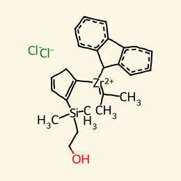 C[C](C)=[Zr+2]([C]1=C([Si](C)(C)CCO)C=CC1)[CH]1c2ccccc2-c2ccccc21.[Cl-].[Cl-]